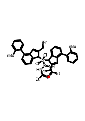 CCCCc1ccccc1-c1cccc2c1C=C(CC(C)C)[CH]2[Zr]([Cl])([Cl])([B](NC(=O)CC)NC(=O)CC)[CH]1C(CC(C)C)=Cc2c(-c3ccccc3CCCC)cccc21